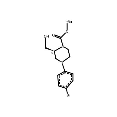 CC(C)(C)OC(=O)N1CCN(c2ccc(Br)cc2)C[C@H]1CO